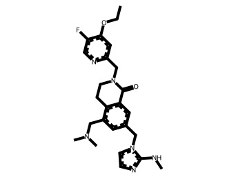 CCOc1cc(CN2CCc3c(CN(C)C)cc(Cn4ccnc4NC)cc3C2=O)ncc1F